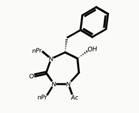 CCCN1C(=O)N(CCC)N(C(C)=O)C[C@@H](O)[C@H]1Cc1ccccc1